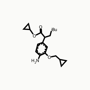 CCC(C)CC(C(=O)OC1CC1)c1ccc(N)c(OCC2CC2)c1